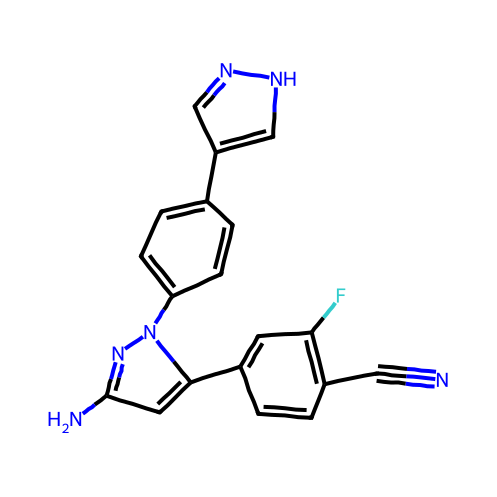 N#Cc1ccc(-c2cc(N)nn2-c2ccc(-c3cn[nH]c3)cc2)cc1F